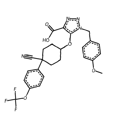 COc1ccc(Cn2nnc(C(=O)O)c2OC2CCC(C#N)(c3ccc(OC(F)(F)F)cc3)CC2)cc1